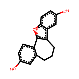 Oc1ccc2c(c1)CCCc1c-2oc2ccc(O)cc12